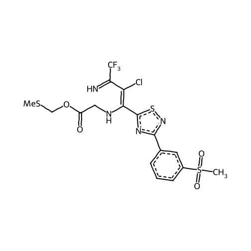 CSCOC(=O)CN/C(=C(/Cl)C(=N)C(F)(F)F)c1nc(-c2cccc(S(C)(=O)=O)c2)ns1